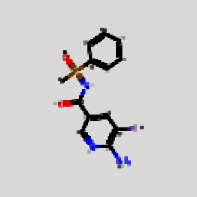 CS(=O)(=NC(=O)c1cnc(N)c(I)c1)c1ccccc1